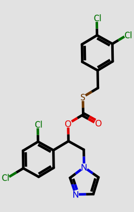 O=C(OC(Cn1ccnc1)c1ccc(Cl)cc1Cl)SCc1ccc(Cl)c(Cl)c1